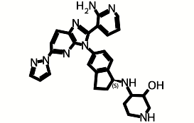 Nc1ncccc1-c1nc2ccc(-n3cccn3)nc2n1-c1ccc2c(c1)CC[C@@H]2NC1CCNCC1O